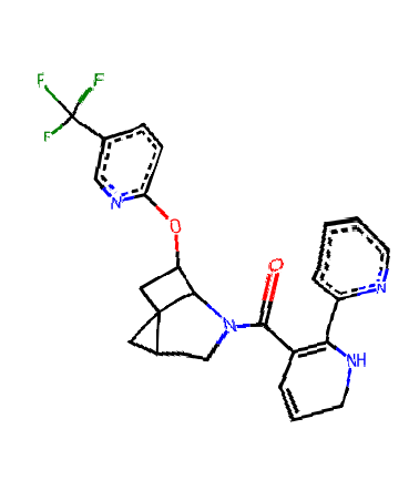 O=C(C1=C(c2ccccn2)NCC=C1)N1CC2CC23CC(Oc2ccc(C(F)(F)F)cn2)C13